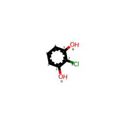 Oc1cccc(O)c1Cl